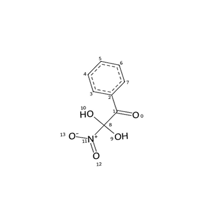 O=C(c1ccccc1)C(O)(O)[N+](=O)[O-]